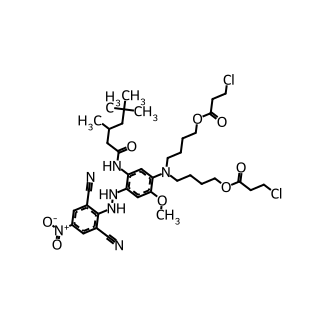 COc1cc(NNc2c(C#N)cc([N+](=O)[O-])cc2C#N)c(NC(=O)CC(C)CC(C)(C)C)cc1N(CCCCOC(=O)CCCl)CCCCOC(=O)CCCl